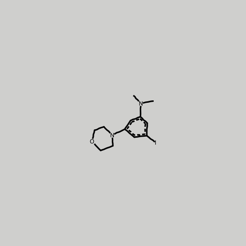 CN(C)c1cc(I)cc(N2CCOCC2)c1